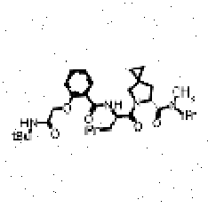 CC(C)C[C@@H](NC(=O)c1ccccc1OCC(=O)NC(C)(C)C)C(=O)N1CC2(CC2)C[C@@H]1C(=O)N(C)C(C)C